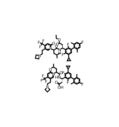 CCOC(=O)C[C@H](NC(=O)C(CC(C)C)n1cc(CCN2CCC2)c(C(F)(F)F)cc1=O)c1c(F)c(-c2c(C)cc(F)cc2C)cc(C2CC2)c1F.Cc1cc(F)cc(C)c1-c1cc(C2CC2)c(F)c([C@H](CC(=O)O)NC(=O)C(CC(C)C)n2cc(CCN3CCC3)c(C(F)(F)F)cc2=O)c1F